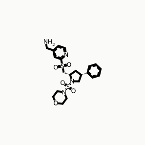 NCc1ccnc(S(=O)(=O)C[C@@H]2C[C@H](c3ccccc3)CN2S(=O)(=O)N2CCOCC2)c1